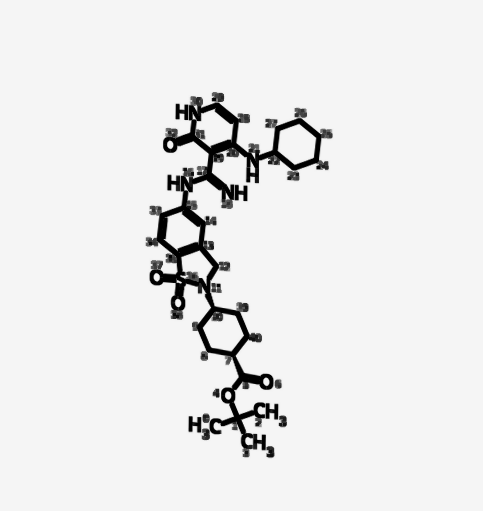 CC(C)(C)OC(=O)[C@H]1CC[C@@H](N2Cc3cc(NC(=N)c4c(NC5CCCCC5)cc[nH]c4=O)ccc3S2(=O)=O)CC1